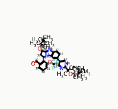 CC(C)(O[Si](C)(C)C(C)(C)C)c1ncc(-c2ccc3nc4n(c3c2)[C@@H](c2c(C=O)cccc2OC(F)F)C[C@@H]4O[Si](C)(C)C(C)(C)C)cn1